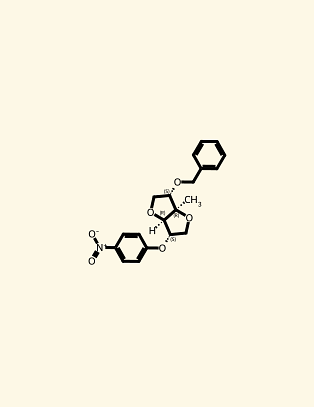 C[C@]12OC[C@H](Oc3ccc([N+](=O)[O-])cc3)[C@H]1OC[C@@H]2OCc1ccccc1